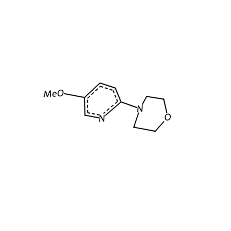 COc1ccc(N2CCOCC2)nc1